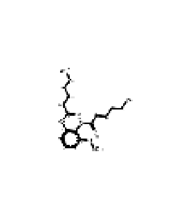 CCCCCCCCCCOc1cccc(OC(=O)CCCCC(C)C)c1OC(=O)CCCCC(C)C